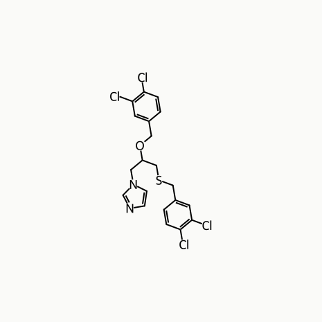 Clc1ccc(COC(CSCc2ccc(Cl)c(Cl)c2)Cn2ccnc2)cc1Cl